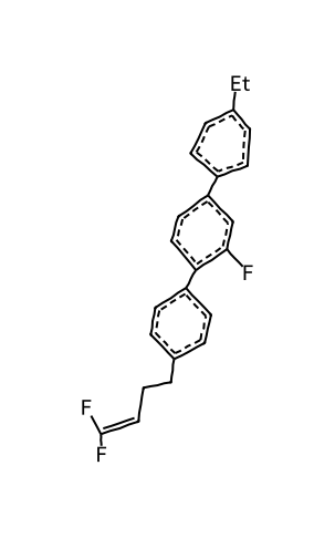 CCc1ccc(-c2ccc(-c3ccc(CCC=C(F)F)cc3)c(F)c2)cc1